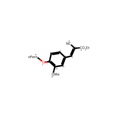 CCCCCOc1ccc(/C=C(\C#N)C(=O)OCC)cc1OC